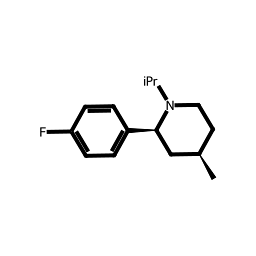 CC(C)N1CC[C@@H](C)C[C@H]1c1ccc(F)cc1